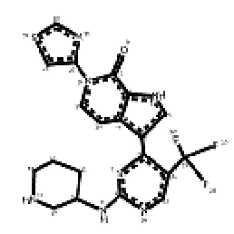 O=c1c2[nH]cc(-c3nc(NC4CCCNC4)ncc3C(F)(F)F)c2ccn1-c1cscn1